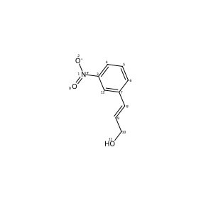 O=[N+]([O-])c1cccc(C=CCO)c1